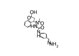 CC(=O)N(NC(=O)Nc1ccc(C=NN)cc1)C(CC(=O)O)c1ccccc1